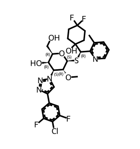 CO[C@@H]1[C@@H](n2cc(-c3cc(F)c(Cl)c(F)c3)nn2)[C@@H](O)[C@@H](CO)O[C@H]1S[C@H](c1ncccc1C)C1(O)CCC(F)(F)CC1